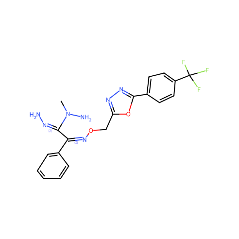 CN(N)C(=N\N)/C(=N\OCc1nnc(-c2ccc(C(F)(F)F)cc2)o1)c1ccccc1